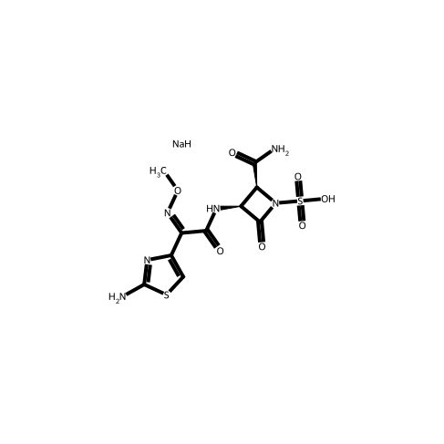 CON=C(C(=O)N[C@@H]1C(=O)N(S(=O)(=O)O)[C@@H]1C(N)=O)c1csc(N)n1.[NaH]